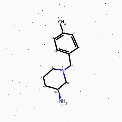 Cc1ccc(CN2CCC[C@H](N)C2)cc1